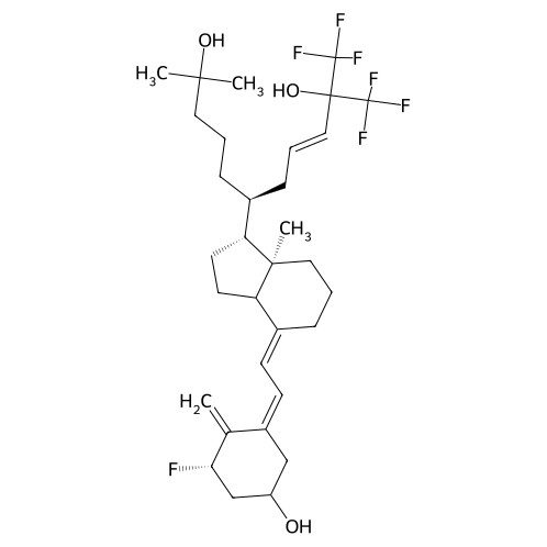 C=C1/C(=C\C=C2/CCC[C@@]3(C)C2CC[C@@H]3[C@H](C/C=C/C(O)(C(F)(F)F)C(F)(F)F)CCCC(C)(C)O)CC(O)C[C@@H]1F